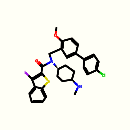 CN[C@H]1CC[C@H](N(Cc2cc(-c3ccc(Cl)cc3)ccc2OC)C(=O)c2sc3ccccc3c2I)CC1